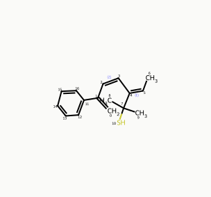 C=C(/C=C\C(=C/C)C(C)(C)S)c1ccccc1